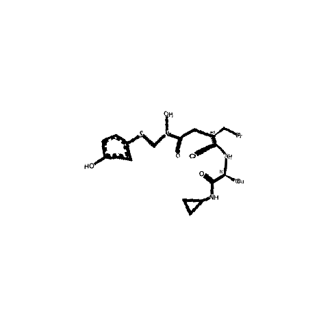 CC(C)C[C@H](CC(=O)N(O)CSc1ccc(O)cc1)C(=O)N[C@H](C(=O)NC1CC1)C(C)(C)C